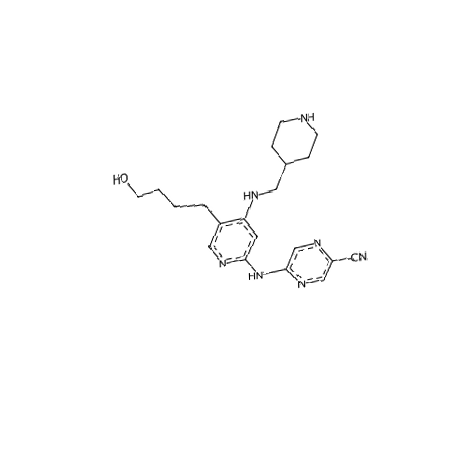 N#Cc1cnc(Nc2cc(NCC3CCNCC3)c(CCCCO)cn2)cn1